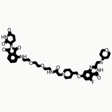 O=C(CN1CCC(COc2cc(F)c3c(=O)[nH]c(CSC4CCOCC4)nc3c2)CC1)NCCOCCOCCNc1cccc2c1C(=O)N(C1CCC(=O)NC1=O)C2=O